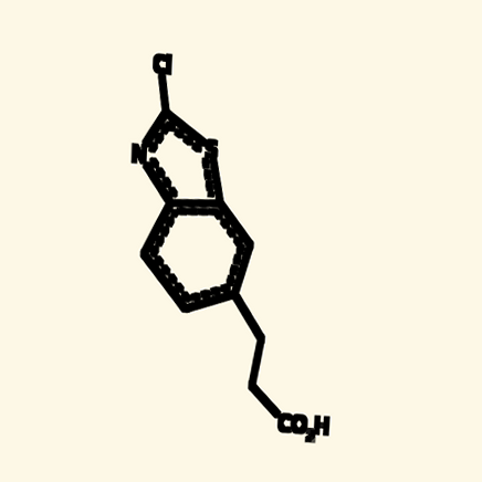 O=C(O)CCc1ccc2nc(Cl)sc2c1